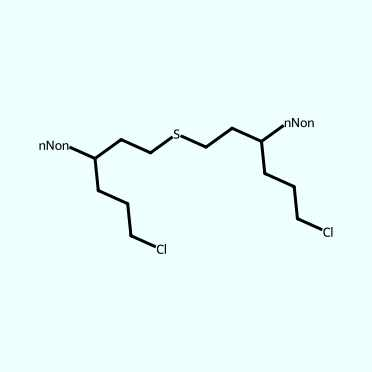 CCCCCCCCCC(CCCCl)CCSCCC(CCCCl)CCCCCCCCC